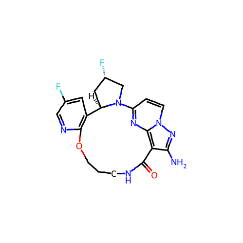 Nc1nn2ccc3nc2c1C(=O)NCCCOc1ncc(F)cc1[C@H]1C[C@H](F)CN31